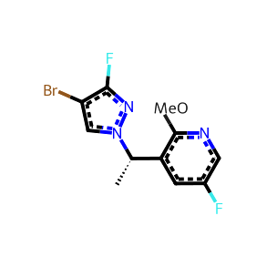 COc1ncc(F)cc1[C@H](C)n1cc(Br)c(F)n1